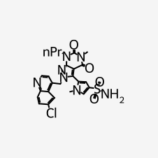 CCCn1c(=O)n(C)c(=O)c2c(-c3cc(S(N)(=O)=O)cn3C)n(Cc3ccnc4ccc(Cl)cc34)nc21